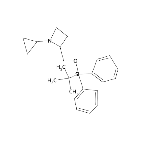 CC(C)(C)[Si](OCC1CCN1C1CC1)(c1ccccc1)c1ccccc1